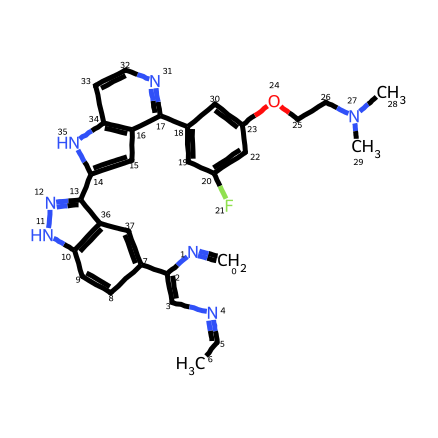 C=N/C(=C\N=C/C)c1ccc2[nH]nc(-c3cc4c(-c5cc(F)cc(OCCN(C)C)c5)nccc4[nH]3)c2c1